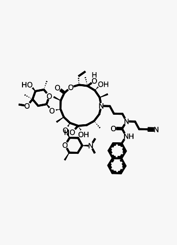 CC[C@H]1OC(=O)[C@H](C)[C@@H](O[C@H]2C[C@@](C)(OC)[C@@H](O)[C@H](C)O2)[C@H](C)[C@@H](O[C@@H]2O[C@H](C)C[C@H](N(C)C)[C@H]2O)[C@](C)(O)C[C@@H](C)CN(CCCN(CCC#N)C(=O)Nc2ccc3ccccc3c2)[C@H](C)[C@@H](O)[C@]1(C)O